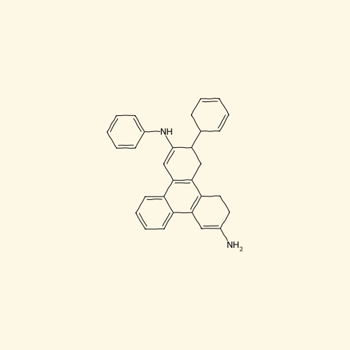 NC1=Cc2c(c3c(c4ccccc24)C=C(Nc2ccccc2)C(C2C=CC=CC2)C3)CC1